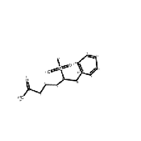 CS(=O)(=O)C(CCCC(=O)O)Cc1ccccc1